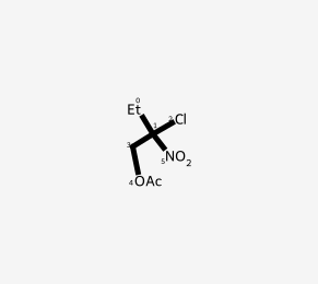 CCC(Cl)(COC(C)=O)[N+](=O)[O-]